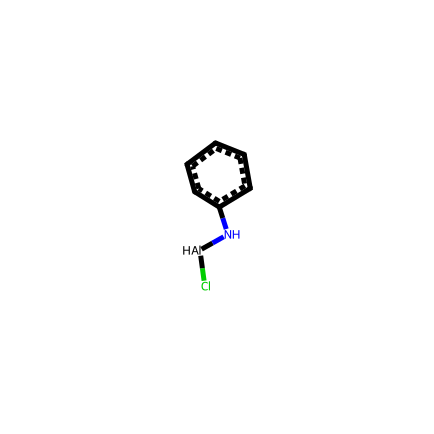 [Cl][AlH][NH]c1ccccc1